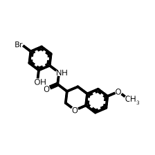 COc1ccc2c(c1)CC(C(=O)Nc1ccc(Br)cc1O)CO2